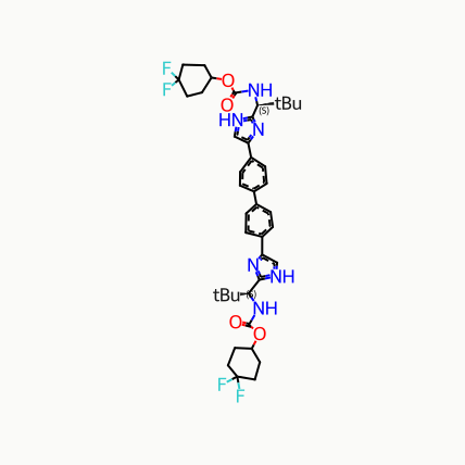 CC(C)(C)[C@H](NC(=O)OC1CCC(F)(F)CC1)c1nc(-c2ccc(-c3ccc(-c4c[nH]c([C@@H](NC(=O)OC5CCC(F)(F)CC5)C(C)(C)C)n4)cc3)cc2)c[nH]1